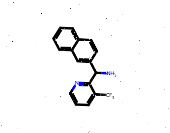 NC(c1ccc2ccccc2c1)c1ncccc1C(F)(F)F